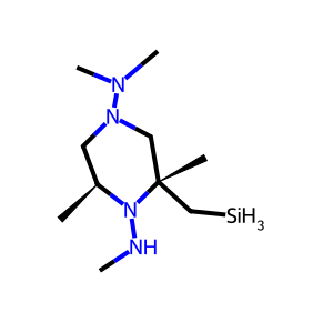 CNN1[C@@H](C)CN(N(C)C)C[C@]1(C)C[SiH3]